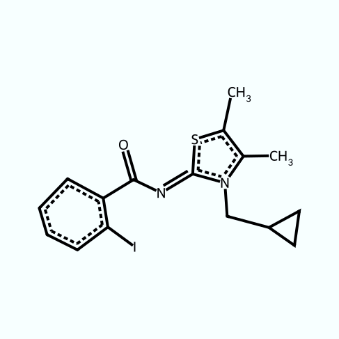 Cc1s/c(=N\C(=O)c2ccccc2I)n(CC2CC2)c1C